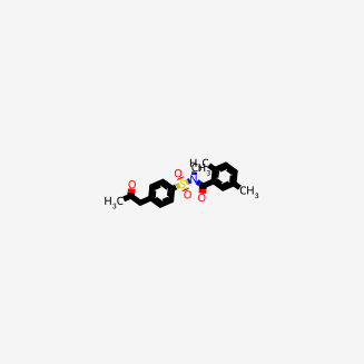 CC(=O)Cc1ccc(S(=O)(=O)N(C)C(=O)c2cc(C)ccc2C)cc1